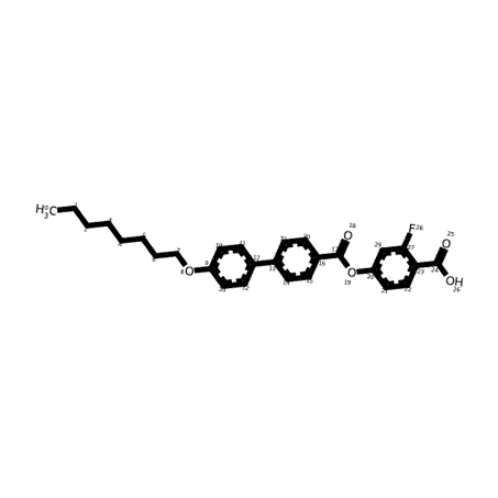 CCCCCCCCOc1ccc(-c2ccc(C(=O)Oc3ccc(C(=O)O)c(F)c3)cc2)cc1